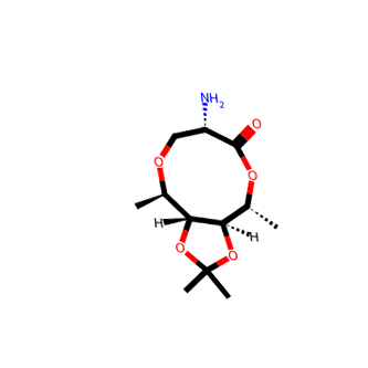 C[C@H]1OC[C@H](N)C(=O)O[C@H](C)[C@H]2OC(C)(C)O[C@@H]21